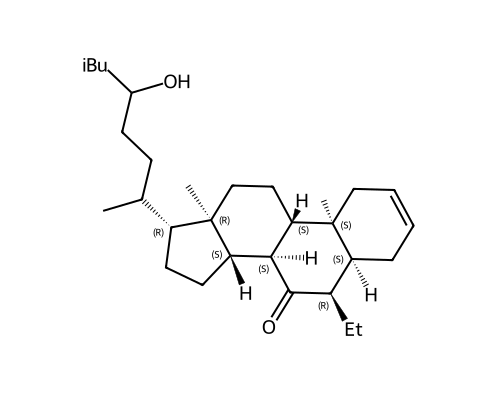 CCC(C)C(O)CCC(C)[C@H]1CC[C@H]2[C@@H]3C(=O)[C@H](CC)[C@@H]4CC=CC[C@]4(C)[C@H]3CC[C@]12C